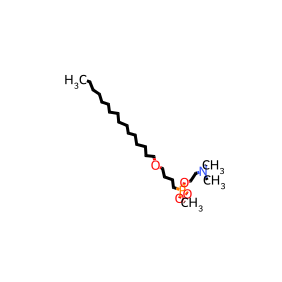 CCCCCCCCCCCCCCCCOCCCCP(=O)(OC)OCCN(C)C